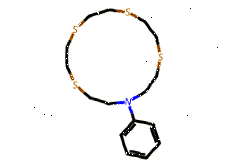 c1ccc(N2CCSCCSCCSCCSCC2)cc1